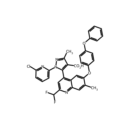 Cc1cc2nc(C(F)F)cc(-c3c(C(=O)O)c(C)nn3-c3cccc(Cl)n3)c2cc1Oc1ccc(Oc2ccccc2)cc1